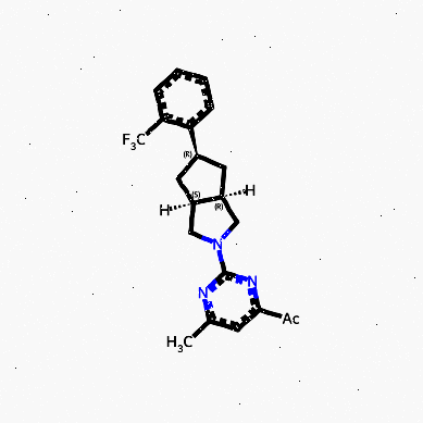 CC(=O)c1cc(C)nc(N2C[C@H]3C[C@@H](c4ccccc4C(F)(F)F)C[C@H]3C2)n1